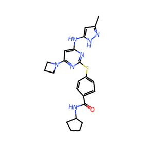 Cc1cc(Nc2cc(N3CCC3)nc(Sc3ccc(C(=O)NC4CCCC4)cc3)n2)[nH]n1